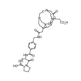 C[C@@H](NC(=O)c1ccc(CNC(=O)CN2CCN3CCN4CCN(CC(=O)O)CC(C2)C(OC(=O)C4)OC(=O)C3)cc1)C(=O)N1CCC[C@H]1B(O)O